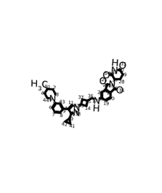 CC1CCN(c2cccc(-c3cn(C4CC(CNc5ccc6c(c5)C(=O)N(C5CCC(=O)NC5=O)C6=O)C4)nc3C3CC3)c2)CC1